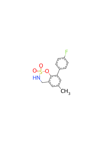 Cc1cc2c(c(-c3ccc(F)cc3)c1)OS(=O)(=O)NC2